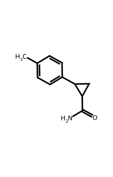 Cc1ccc(C2CC2C(N)=O)cc1